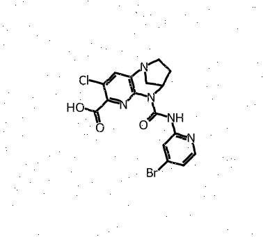 O=C(O)c1nc2c(cc1Cl)N1CCC(C1)N2C(=O)Nc1cc(Br)ccn1